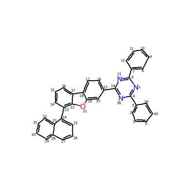 c1ccc(-c2nc(-c3ccccc3)nc(-c3ccc4c(c3)oc3c(-c5cccc6ccccc56)cccc34)n2)cc1